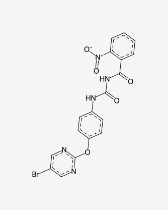 O=C(NC(=O)c1ccccc1[N+](=O)[O-])Nc1ccc(Oc2ncc(Br)cn2)cc1